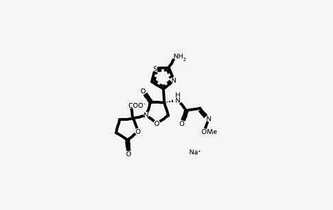 CO/N=C\C(=O)N[C@]1(c2csc(N)n2)CON(C2(C(=O)[O-])CCC(=O)O2)C1=O.[Na+]